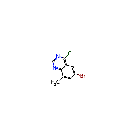 FC(F)(F)c1cc(Br)cc2c(Cl)ncnc12